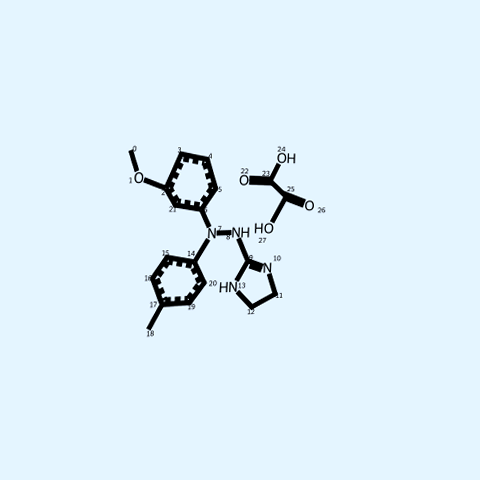 COc1cccc(N(NC2=NCCN2)c2ccc(C)cc2)c1.O=C(O)C(=O)O